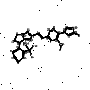 COc1cc(C=Cc2nc3n(n2)CCC3c2ccccc2C(F)(F)F)cnc1-n1cnc(C)c1